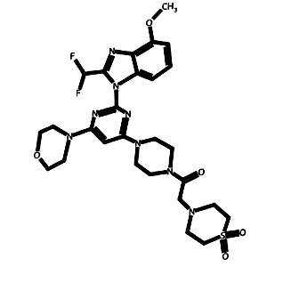 COc1cccc2c1nc(C(F)F)n2-c1nc(N2CCOCC2)cc(N2CCN(C(=O)CN3CCS(=O)(=O)CC3)CC2)n1